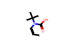 C/C=C\N(C(=O)O)C(C)(C)C